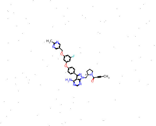 CC#CC(=O)N1CCC[C@@H]1Cn1nc(-c2ccc(Oc3cc(F)cc(OCc4cnc(C)nc4)c3)cc2)c2c(N)ncnc21